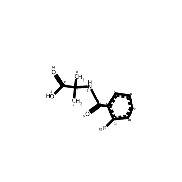 CC(C)(NC(=O)c1ccccc1F)C(=O)O